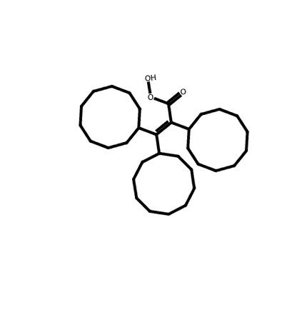 O=C(OO)C(=C(C1CCCCCCCCC1)C1CCCCCCCCC1)C1CCCCCCCCC1